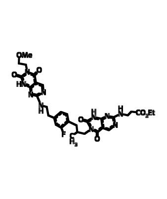 CCOC(=O)CCNc1ncc2c(=O)n(CC(C)Cc3ccc(CCNc4ncc5c(=O)n(CCOC)c(=O)[nH]c5n4)cc3F)c(=O)[nH]c2n1